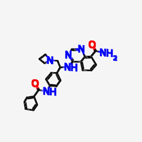 NC(=O)c1cccc2c(NC(CN3CCC3)c3ccc(NC(=O)c4ccccc4)cc3)ncnc12